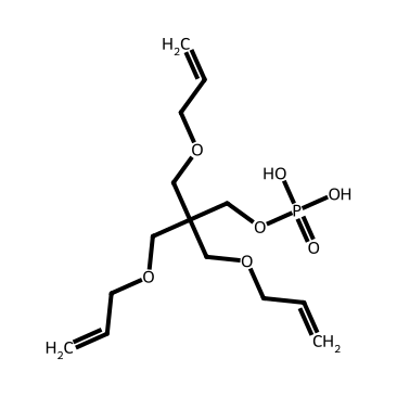 C=CCOCC(COCC=C)(COCC=C)COP(=O)(O)O